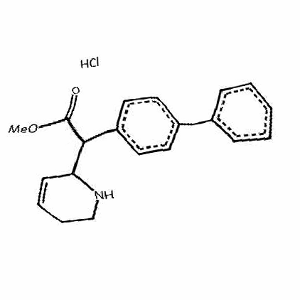 COC(=O)C(c1ccc(-c2ccccc2)cc1)C1C=CCCN1.Cl